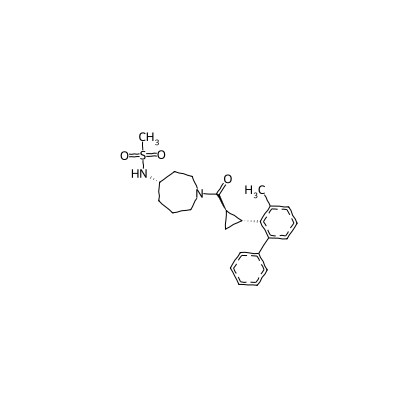 Cc1cccc(-c2ccccc2)c1[C@@H]1C[C@H]1C(=O)N1CCC[C@H](NS(C)(=O)=O)CC1